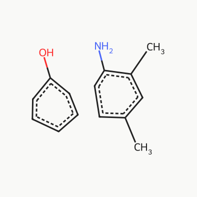 Cc1ccc(N)c(C)c1.Oc1ccccc1